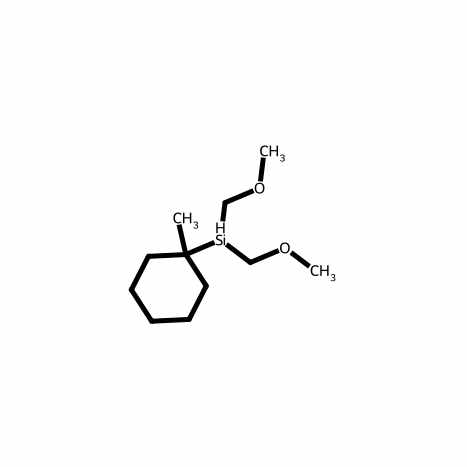 COC[SiH](COC)C1(C)CCCCC1